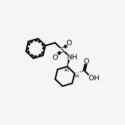 O=C(O)[C@@H]1CCCC[C@H]1NS(=O)(=O)Cc1ccccc1